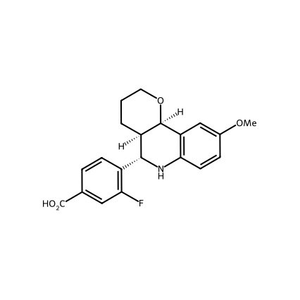 COc1ccc2c(c1)[C@@H]1OCCC[C@@H]1[C@@H](c1ccc(C(=O)O)cc1F)N2